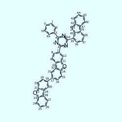 c1ccc(-c2nc(-c3ccc4c(c3)oc3ccc(-c5ccc6oc7ccccc7c6c5)cc34)nc(-c3cccc4c3sc3ccccc34)n2)cc1